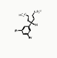 CC(C)c1cc(C(C)C)cc(C(C#N)(CCC(=O)O)CCC(=O)O)c1